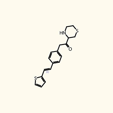 O=C(Cc1ccc(/C=C/c2cccs2)cc1)C1CSCCN1